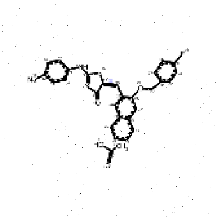 CC(=O)O.O=C1N=C(Nc2cc[c]([Na])cc2)S/C1=C/c1cc2ccccc2cc1OCc1ccc(F)cc1